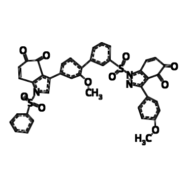 COc1ccc(-c2nn(S(=O)(=O)c3cccc(-c4ccc(-c5cn(S(=O)(=O)c6ccccc6)c6c5C(=O)C(=O)C=C6)cc4OC)c3)c3c2C(=O)C(=O)C=C3)cc1